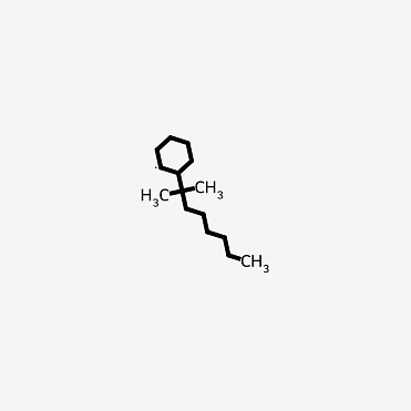 CCCCCCC(C)(C)C1[CH]CCCC1